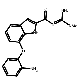 CNC(N)=NC(=O)c1cc2cccc(Oc3ccccc3N)c2[nH]1